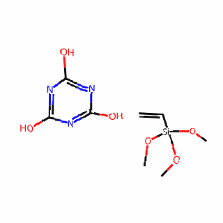 C=C[Si](OC)(OC)OC.Oc1nc(O)nc(O)n1